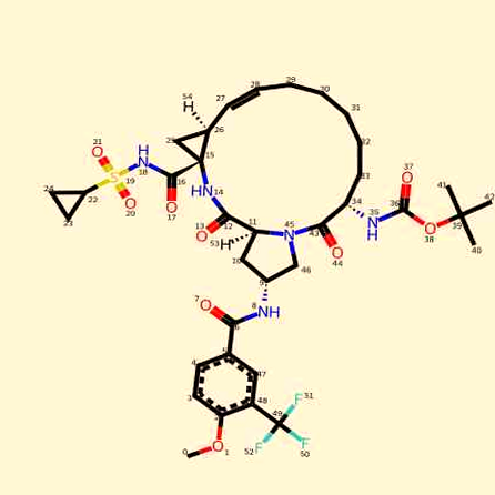 COc1ccc(C(=O)N[C@@H]2C[C@H]3C(=O)N[C@]4(C(=O)NS(=O)(=O)C5CC5)C[C@H]4/C=C\CCCCC[C@H](NC(=O)OC(C)(C)C)C(=O)N3C2)cc1C(F)(F)F